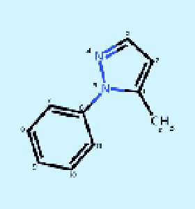 Cc1c[c]nn1-c1ccccc1